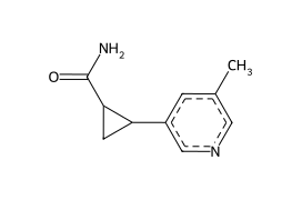 Cc1cncc(C2CC2C(N)=O)c1